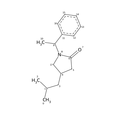 CC(C)CC1CC(=O)N(C(C)c2ccccc2)C1